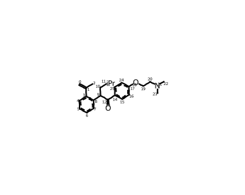 C=C(C)c1ccccc1C(CC(C)C)C(=O)c1ccc(OCCN(C)C)cc1